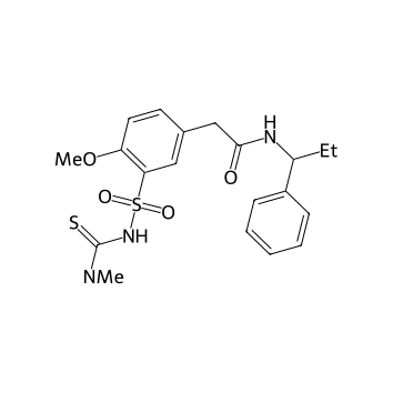 CCC(NC(=O)Cc1ccc(OC)c(S(=O)(=O)NC(=S)NC)c1)c1ccccc1